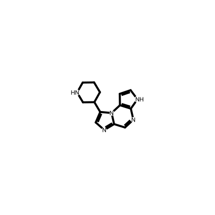 c1cc2c(ncc3ncc(C4CCCNC4)n32)[nH]1